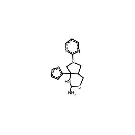 NC1NC2(c3cccs3)CN(c3ncccn3)CC2CS1